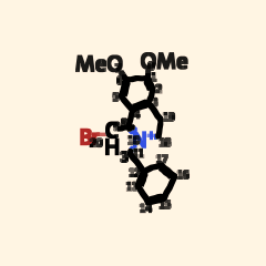 COc1cc2c(cc1OC)C(C)=[N+](Cc1ccccc1)CC2.[Br-]